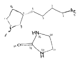 CC(=O)CCCC[C@H]1CCSC1.O=C1NCCN1